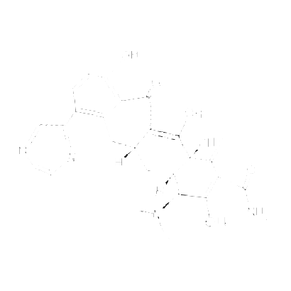 CN(C)[C@@H]1C(O)=C(C(N)=O)C(=O)[C@@]2(O)C(O)=C3C(=O)c4c(O)ccc(-c5cnccn5)c4C[C@H]3C[C@@H]12